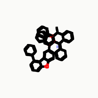 CC(c1ccccc1/C(=C1/C=CC=CC1)c1oc2ccccc2c1-c1ccc2oc3cccc(-c4ccccc4)c3c2c1)c1cccc2ccccc12